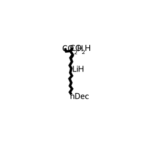 CCCCCCCCCCCCCCCCCCCCC=CC(CC(=O)O)C(=O)O.[LiH]